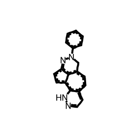 C1=NNc2c3ccc4c-3c(ccc2=C1)CN(c1ccccc1)N=4